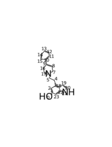 Oc1cc(CCN2CC=C(c3ccccc3)CC2)c2cc[nH]c2c1